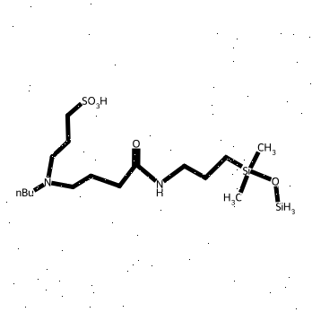 CCCCN(CCCC(=O)NCCC[Si](C)(C)O[SiH3])CCCS(=O)(=O)O